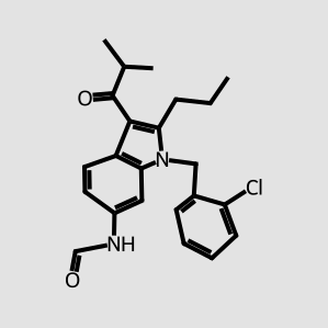 CCCc1c(C(=O)C(C)C)c2ccc(NC=O)cc2n1Cc1ccccc1Cl